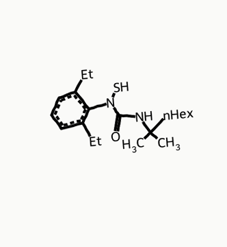 CCCCCCC(C)(C)NC(=O)N(S)c1c(CC)cccc1CC